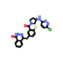 O=C(c1cc(Cc2n[nH]c(=O)c3ccccc23)ccc1F)N1CC[C@H](Nc2ccc(Cl)nn2)C1